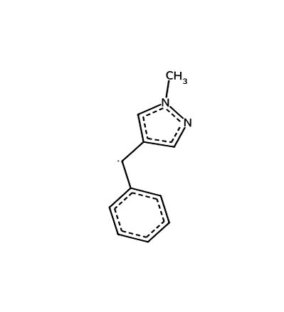 Cn1cc([CH]c2ccccc2)cn1